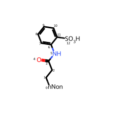 CCCCCCCCCCCC(=O)Nc1ccccc1S(=O)(=O)O